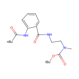 CCCCC(=O)Nc1ccccc1C(=O)NCCN(C)C(=O)OC(C)(C)C